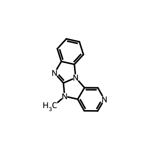 Cn1c2ccncc2n2c3ccccc3nc12